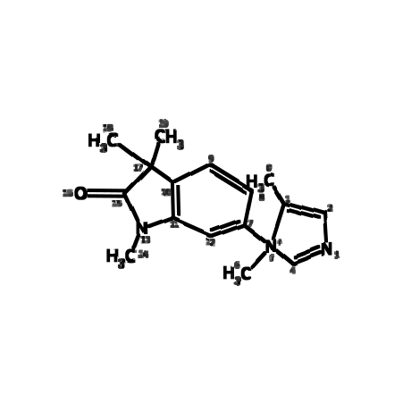 CC1=CN=C[N+]1(C)c1ccc2c(c1)N(C)C(=O)C2(C)C